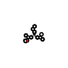 c1ccc2c(c1)-c1ccc(N(c3ccc4c(c3)-c3ccccc3C43C4CCC5CC(C4)CC3C5)c3ccc4c(ccc5ccccc54)c3)cc1C21CCCCC1